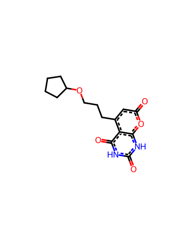 O=c1[nH]c(=O)c2c(CCCOC3CCCC3)cc(=O)oc2[nH]1